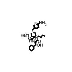 CCCCN1C(=O)[C@@H]([C@H](O)C2CCCCC2)NC(=O)C12CCN(Cc1ccc(N)nc1)CC2.Cl.Cl